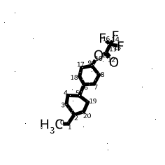 CCC1CCC(C2CCC(OC(=O)C(F)(F)F)CC2)CC1